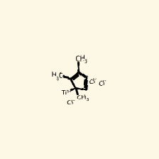 CC1=C(C)[C](C)([Ti+3])C=C1.[Cl-].[Cl-].[Cl-]